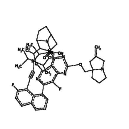 C=C1CN2CCCC2(COc2nc3c4c(nc(-c5cccc6ccc(F)c(C#C[Si](C(C)C)(C(C)C)C(C)C)c56)c(F)c4n2)OC(C)C2C4CCC(CN32)N4C(=O)O)C1